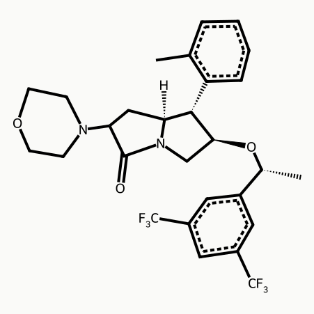 Cc1ccccc1[C@@H]1[C@@H](O[C@H](C)c2cc(C(F)(F)F)cc(C(F)(F)F)c2)CN2C(=O)C(N3CCOCC3)C[C@@H]12